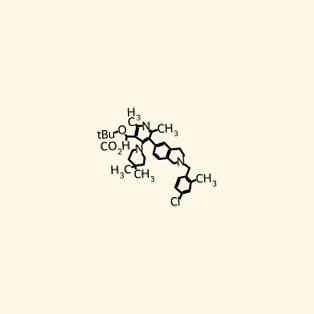 Cc1cc(Cl)ccc1CN1CCc2cc(-c3c(C)nc(C)c(C(OC(C)(C)C)C(=O)O)c3N3CCC(C)(C)CC3)ccc2C1